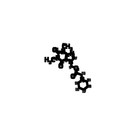 Cn1c(=O)c2c(ncn2COC(=O)CN2CCCCC2)n(C)c1=O